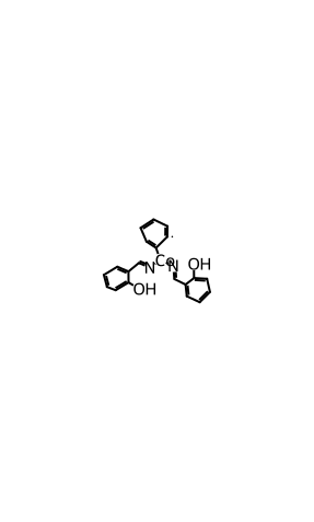 Oc1ccccc1C=[N][Co]([N]=Cc1ccccc1O)[c]1[c]cccc1